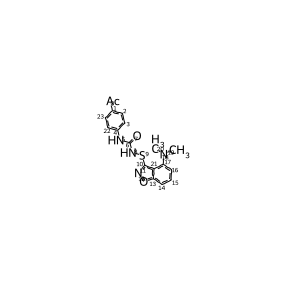 CC(=O)c1ccc(NC(=O)NSc2noc3cccc(N(C)C)c23)cc1